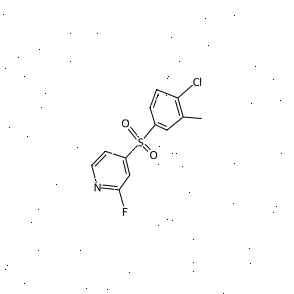 Cc1cc(S(=O)(=O)c2ccnc(F)c2)ccc1Cl